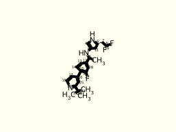 CC(NC1=CN[C@H](CC(F)F)C1)c1ccc(-c2ccnc(C(C)(C)C)c2)c(F)c1